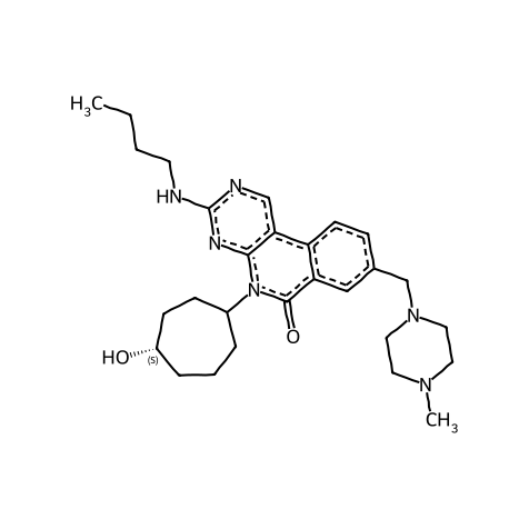 CCCCNc1ncc2c3ccc(CN4CCN(C)CC4)cc3c(=O)n(C3CCC[C@H](O)CC3)c2n1